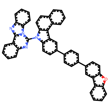 c1ccc2c(c1)ccc1c2c2cc(-c3ccc(-c4ccc5oc6ccccc6c5c4)cc3)ccc2n1-c1nc2ccccc2c2nc3ccccc3n12